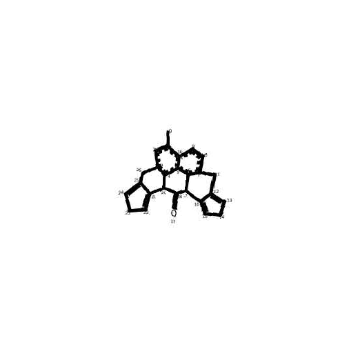 Cc1cc2c3c4c5c(ccc14)CC1=CCC=C1C5C(=O)C3C1=CCC=C1C2